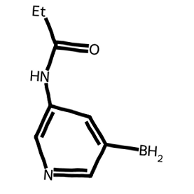 Bc1cncc(NC(=O)CC)c1